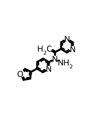 C=C(c1cncnc1)N(N)c1ccc(-c2ccoc2)cn1